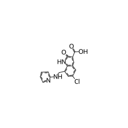 O=C(O)c1cc2cc(Cl)cc(CNc3ccccn3)c2[nH]c1=O